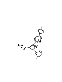 Cc1ccc(-c2ccc(-c3cc(C(=O)O)cc(-c4cc(C)ccn4)n3)nc2)cc1